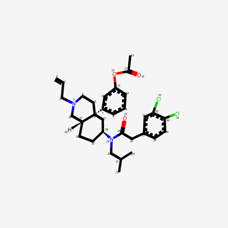 C=CCN1CC[C@@]2(c3cccc(OC(C)=O)c3)C[C@@H](N(CC(C)C)C(=O)Cc3ccc(Cl)c(Cl)c3)CC[C@@H]2C1